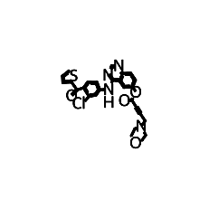 O=C(C#CCN1CCOCC1)Oc1ccc2ncnc(Nc3ccc(C(=O)c4cccs4)c(Cl)c3)c2c1